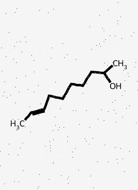 CC=CCCCCCC(C)O